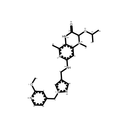 COc1cc(Cn2cc(CNc3cc4c(c(C)n3)NC(=O)C(OC(C)C)N4C)cn2)ccn1